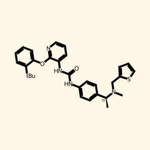 C[C@@H](c1ccc(NC(=O)Nc2cccnc2Oc2ccccc2C(C)(C)C)cc1)N(C)Cc1cccs1